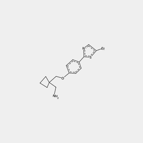 CCc1cnc(-c2ccc(OCC3(CN)CCC3)cc2)s1